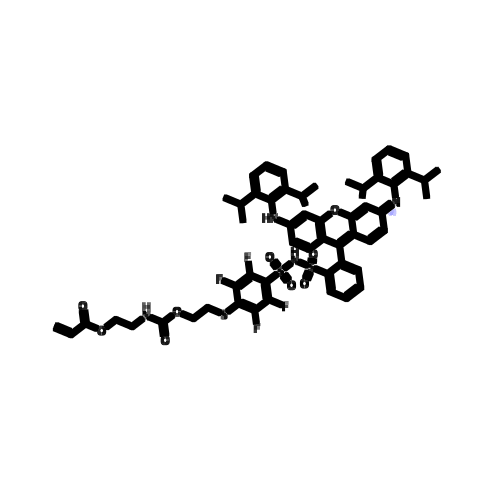 C=CC(=O)OCCNC(=O)OCCSc1c(F)c(F)c(S(=O)(=O)NS(=O)(=O)c2ccccc2-c2c3cc/c(=N/c4c(C(C)C)cccc4C(C)C)cc-3oc3cc(Nc4c(C(C)C)cccc4C(C)C)ccc23)c(F)c1F